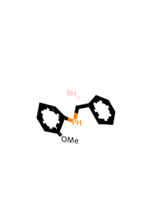 B.COc1ccccc1PCc1ccccc1